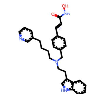 O=C(/C=C/c1ccc(CN(CCCCc2cccnc2)CCc2c[nH]c3ccccc23)cc1)NO